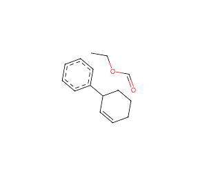 C1=CC(c2ccccc2)CCC1.CCOC=O